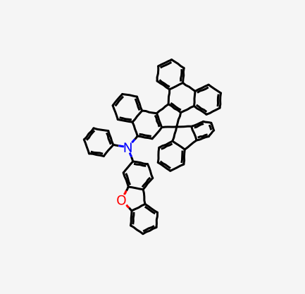 c1ccc(N(c2ccc3c(c2)oc2ccccc23)c2cc3c(c4ccccc24)-c2c(c4ccccc4c4ccccc24)C32c3ccccc3-c3ccccc32)cc1